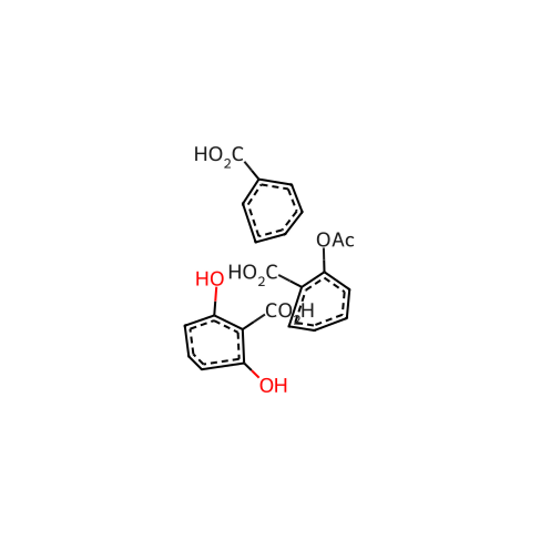 CC(=O)Oc1ccccc1C(=O)O.O=C(O)c1c(O)cccc1O.O=C(O)c1ccccc1